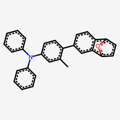 Cc1cc(N(c2ccccc2)c2ccccc2)ccc1-c1ccc2c3ccc(o3)c2c1